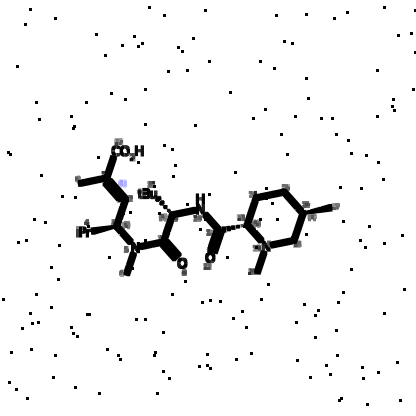 C/C(=C\[C@H](C(C)C)N(C)C(=O)[C@@H](NC(=O)[C@@H]1CC[C@@H](C)CN1C)C(C)(C)C)C(=O)O